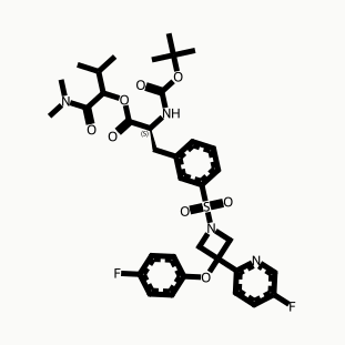 CC(C)C(OC(=O)[C@H](Cc1cccc(S(=O)(=O)N2CC(Oc3ccc(F)cc3)(c3ccc(F)cn3)C2)c1)NC(=O)OC(C)(C)C)C(=O)N(C)C